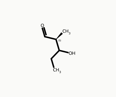 CCC(O)[C@H](C)C=O